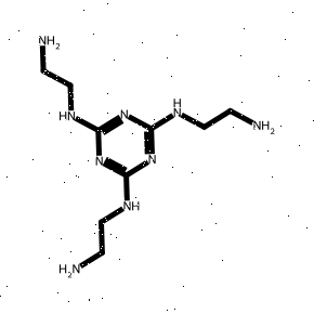 NCCNc1nc(NCCN)nc(NCCN)n1